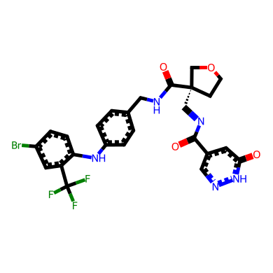 O=C(N=C[C@@]1(C(=O)NCc2ccc(Nc3ccc(Br)cc3C(F)(F)F)cc2)CCOC1)c1cn[nH]c(=O)c1